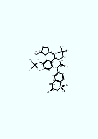 O=C1CS(=O)(=O)c2ccc(CC(=O)N(CC(F)(F)F)C(CN3CC[C@H](O)C3)c3cccc(OC(F)(F)F)c3)cc2N1